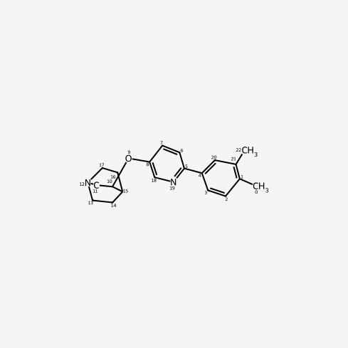 Cc1ccc(-c2ccc(OC3CN4CCC3CC4)cn2)cc1C